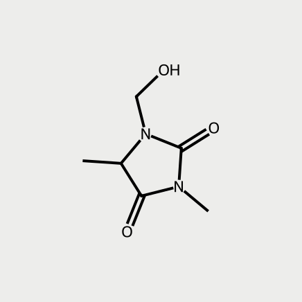 CC1C(=O)N(C)C(=O)N1CO